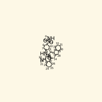 CNS(=O)(=O)c1ccc2c(c1)C(C1C(Cc3ccc(N(C)C)c4ccccc34)=Cc3ccccc31)C(=O)N2